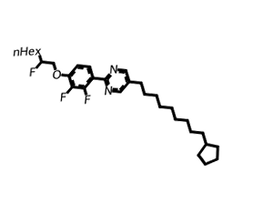 CCCCCCC(F)COc1ccc(-c2ncc(CCCCCCCCCC3CCCC3)cn2)c(F)c1F